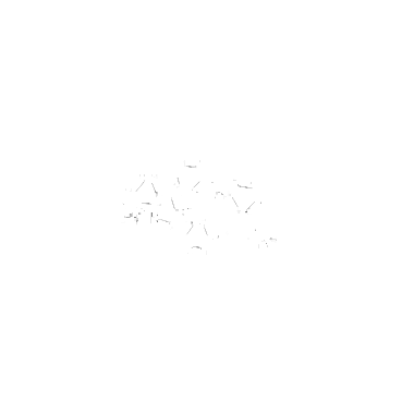 O=C(O)CC1CCCc2c(OCc3cccc(-c4c(Cc5ccccc5)cnc5c(C(F)(F)F)cccc45)c3)cccc21